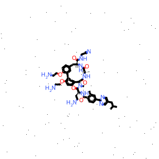 Cc1cc(-c2ncc(CC(C)C)cn2)ccc1C(=O)N[C@@H](CCN)C(=O)N(C)[C@@H]1C(=O)N[C@@H](C)C(=O)N[C@H](C(=O)NCC#N)Cc2ccc(OCCN)c(c2)-c2cc1ccc2OCCN